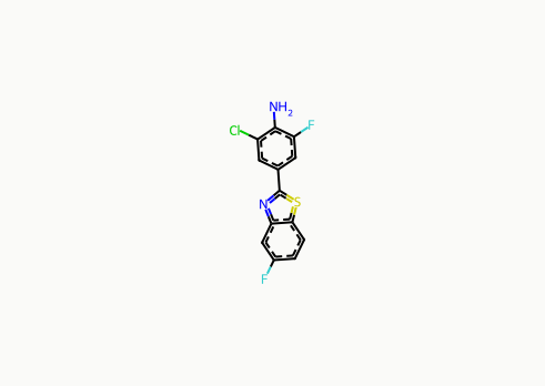 Nc1c(F)cc(-c2nc3cc(F)ccc3s2)cc1Cl